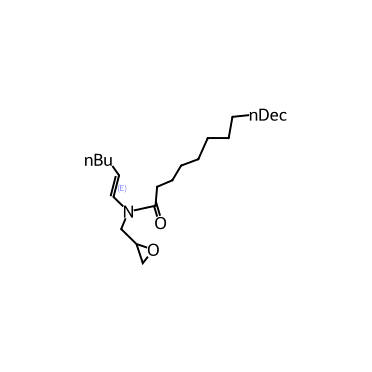 CCCC/C=C/N(CC1CO1)C(=O)CCCCCCCCCCCCCCCCC